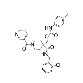 CCc1ccc(NC(=O)OCC2(C(=O)NCc3ccccc3Cl)CCN(C(=O)c3cccnc3)CC2)cc1